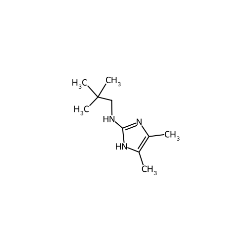 Cc1nc(NCC(C)(C)C)[nH]c1C